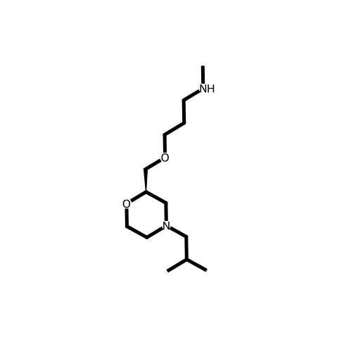 CNCCCOC[C@H]1CN(CC(C)C)CCO1